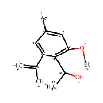 C=C(C)c1cc(C(C)=O)cc(OCC)c1C(C)O